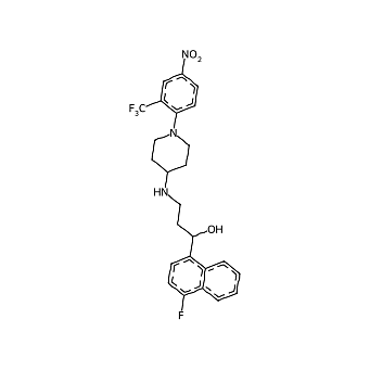 O=[N+]([O-])c1ccc(N2CCC(NCCC(O)c3ccc(F)c4ccccc34)CC2)c(C(F)(F)F)c1